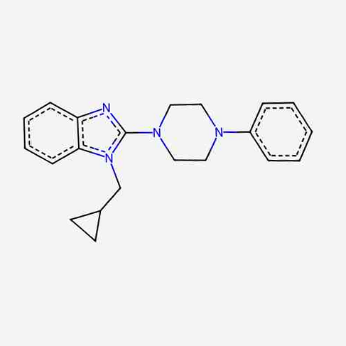 c1ccc(N2CCN(c3nc4ccccc4n3CC3CC3)CC2)cc1